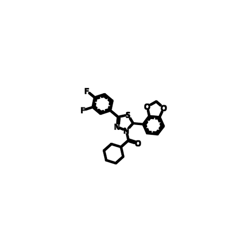 O=C(C1CCCCC1)N1N=C(c2ccc(F)c(F)c2)SC1c1cccc2c1OCO2